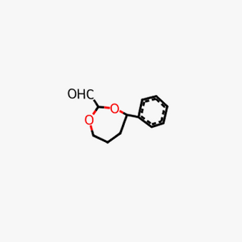 O=CC1OCCCC(c2ccccc2)O1